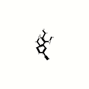 C#Cc1ccc2c(c1)C(OC)=C(CC)OC2